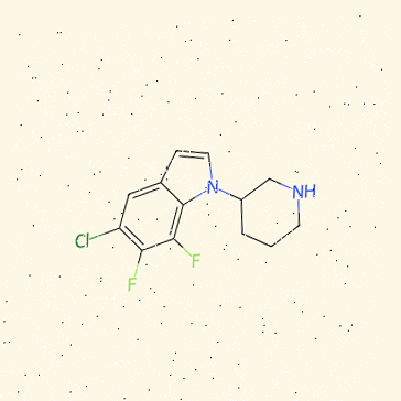 Fc1c(Cl)cc2ccn(C3CCCNC3)c2c1F